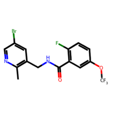 Cc1ncc(Br)cc1CNC(=O)c1cc(OC(F)(F)F)ccc1F